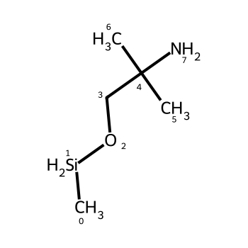 C[SiH2]OCC(C)(C)N